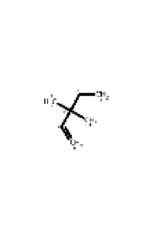 C=[C]C(C)(C)CC